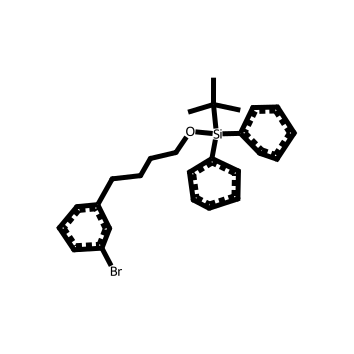 CC(C)(C)[Si](OCCCCc1cccc(Br)c1)(c1ccccc1)c1ccccc1